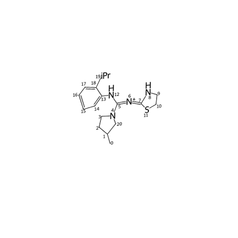 CC1CCN(C(=[N+]=C2NCCS2)Nc2ccccc2C(C)C)C1